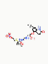 Cc1cc2c(c(OCC(O)CNCCNC(=O)C(C)SCCO[N+](=O)[O-])c1)CCC(=O)N2